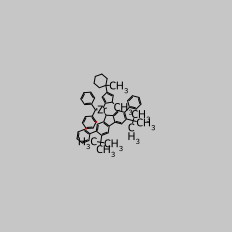 CC1C=C(C2(C)CCCCC2)C=[C]1[Zr](=[C](c1ccccc1)c1ccccc1)[CH]1c2cc(-c3ccccc3)c(C(C)(C)C)cc2-c2cc(C(C)(C)C)c(-c3ccccc3)cc21